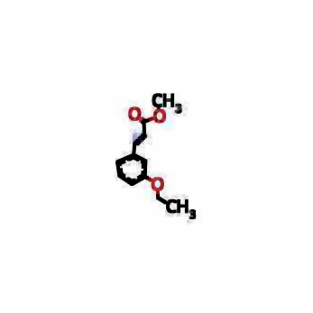 CCOc1cccc(/C=C/C(=O)OC)c1